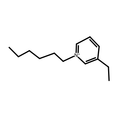 CCCCCC[n+]1cccc(CC)c1